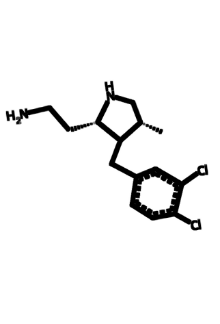 C[C@H]1CN[C@@H](CCN)C1Cc1ccc(Cl)c(Cl)c1